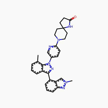 Cc1cccc2c(-c3cccc4nn(C)cc34)nn(-c3ccc(N4CCC5(CCC(=O)N5)CC4)nc3)c12